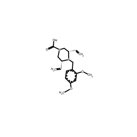 C=C[C@@H]1CN(C(=O)O)C[C@H](C=C)N1Cc1ccc(OC)cc1OC